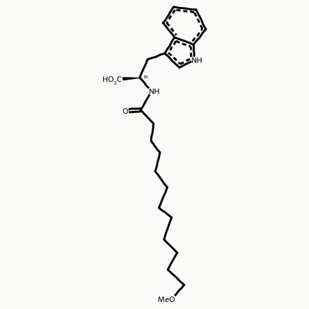 COCCCCCCCCCCCC(=O)N[C@H](Cc1c[nH]c2ccccc12)C(=O)O